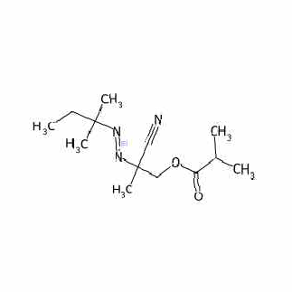 CCC(C)(C)/N=N/C(C)(C#N)COC(=O)C(C)C